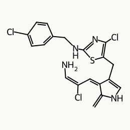 C=c1[nH]cc(Cc2sc(NCc3ccc(Cl)cc3)nc2Cl)/c1=C/C(Cl)=C\N